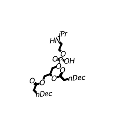 CCCCCCCCCCCC(=O)OCC(COP(=O)(O)OCCNC(C)C)OC(=O)CCCCCCCCCCC